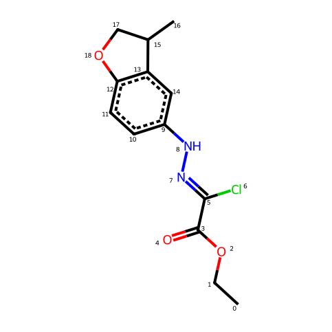 CCOC(=O)/C(Cl)=N/Nc1ccc2c(c1)C(C)CO2